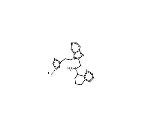 CN(Cc1nc2ccccc2n1CCc1cn(C)cn1)C1CCCc2cccnc21